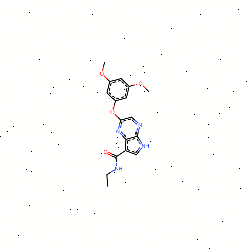 CCNC(=O)c1c[nH]c2ncc(Oc3cc(OC)cc(OC)c3)nc12